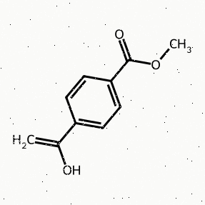 C=C(O)c1ccc(C(=O)OC)cc1